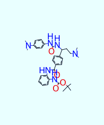 CN(C)CCC(NC(=O)Nc1ccc(N(C)C)cc1)c1ccc(C(=O)Nc2ccccc2NC(=O)OC(C)(C)C)cc1